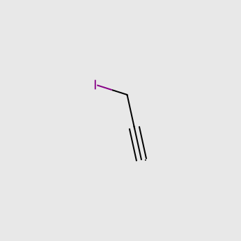 [C]#CCI